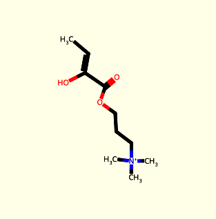 CC=C(O)C(=O)OCCC[N+](C)(C)C